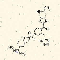 CC1Cc2nc(C(=O)N3CCN(S(=O)(=O)n4cc5ccc(/C(N)=N\O)cc5c4)CC3Cc3nnn[nH]3)sc2CN1